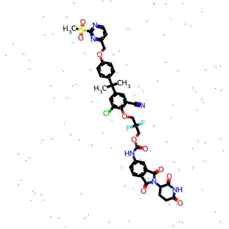 CC(C)(c1ccc(OCc2ccnc(S(C)(=O)=O)n2)cc1)c1cc(Cl)c(OCC(F)(F)COC(=O)Nc2ccc3c(c2)C(=O)N(C2CCC(=O)NC2=O)C3=O)c(C#N)c1